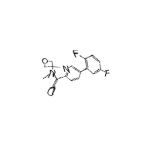 CN(C(=O)c1ccc(-c2cc(F)ccc2F)cn1)C1(C)COC1